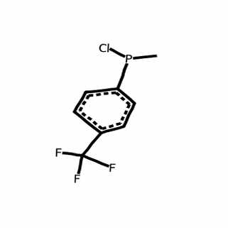 CP(Cl)c1ccc(C(F)(F)F)cc1